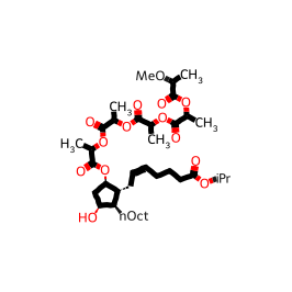 CCCCCCCC[C@@H]1[C@@H](C/C=C\CCCC(=O)OC(C)C)[C@@H](OC(=O)C(C)OC(=O)C(C)OC(=O)C(C)OC(=O)C(C)OC(=O)C(C)OC)C[C@H]1O